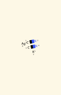 [Ag+].[C-]#N.[C-]#N.[K+]